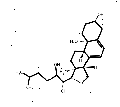 CC(C)CCC(O)[C@@H](C)[C@H]1CC[C@H]2C3=CC=C4C[C@@H](O)CC[C@]4(C)[C@H]3CC[C@]12C